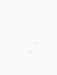 C=C(/N=C\C(=C/C)CBr)SC